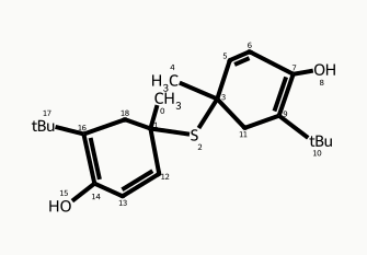 CC1(SC2(C)C=CC(O)=C(C(C)(C)C)C2)C=CC(O)=C(C(C)(C)C)C1